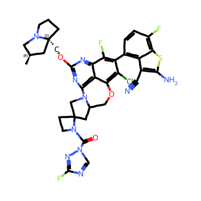 C[C@H]1CN2CCC[C@@]2(COc2nc3c4c(c(Cl)c(-c5ccc(F)c6sc(N)c(C#N)c56)c(F)c4n2)OCC2CC4(CCN4C(=O)n4cnc(F)n4)CN32)C1